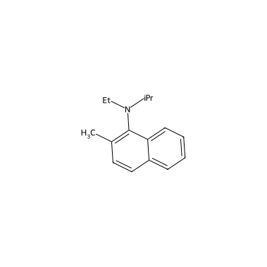 CCN(c1c(C)ccc2ccccc12)C(C)C